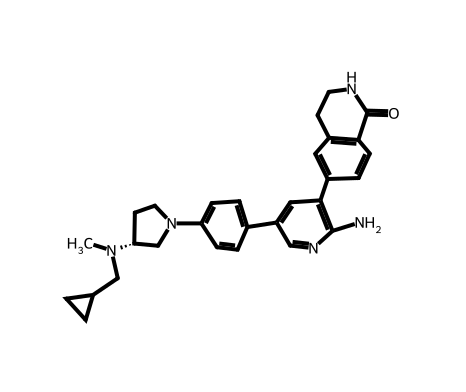 CN(CC1CC1)[C@@H]1CCN(c2ccc(-c3cnc(N)c(-c4ccc5c(c4)CCNC5=O)c3)cc2)C1